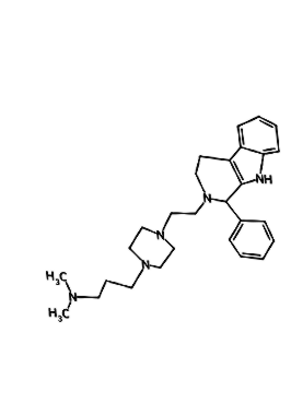 CN(C)CCCN1CCN(CCN2CCc3c([nH]c4ccccc34)C2c2ccccc2)CC1